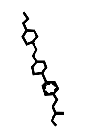 C=C(CC)CCc1ccc(C2CCC(CCC3CCC(CCC)CC3)CC2)cc1